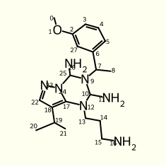 COc1cccc(C(C)N2C(N)N(CCCN)c3c(C(C)C)cnn3C2N)c1